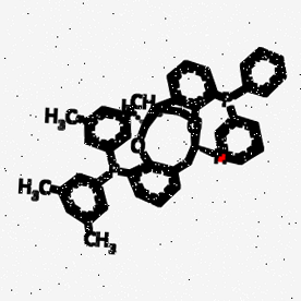 Cc1cc(C)cc(P(c2cc(C)cc(C)c2)c2cccc3c2O[C@@H]2CCC[C@H](C3)Oc3c(cccc3P(c3ccccc3)c3ccccc3)C2)c1